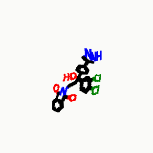 O=C1c2ccccc2C(=O)N1CCC(O)(c1ccc(-c2cn[nH]c2)cc1)c1ccc(Cl)c(Cl)c1